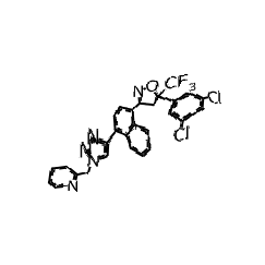 FC(F)(F)C1(c2cc(Cl)cc(Cl)c2)CC(c2ccc(-c3cn(Cc4ccccn4)nn3)c3ccccc23)=NO1